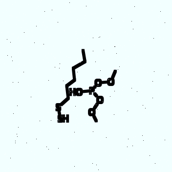 CCCCCCSS.COOP(O)OOC